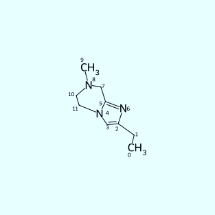 CCc1cn2c(n1)CN(C)CC2